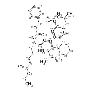 CCOC(=O)/C=C/CC[C@H](NC(=O)OCc1ccccc1)C(=O)N[C@H](C(=O)N1CCCC[C@H]1C(=O)N[C@@H](CC(C)C)C(=O)OC)C(C)C